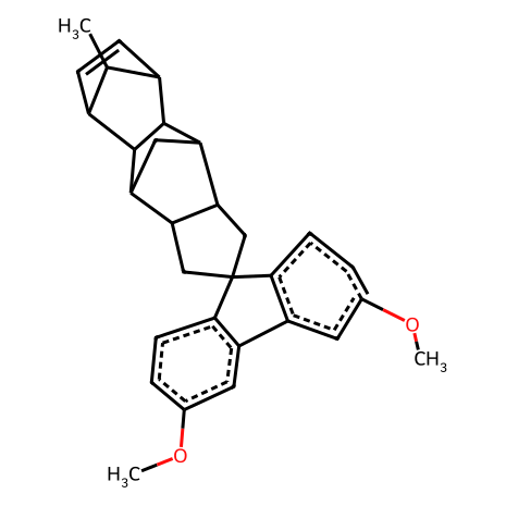 COc1ccc2c(c1)-c1cc(OC)ccc1C21CC2C(C1)C1CC2C2C3C=CC(C3C)C12